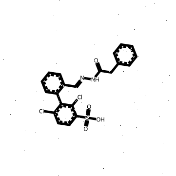 O=C(Cc1ccccc1)NN=Cc1ccccc1-c1c(Cl)ccc(S(=O)(=O)O)c1Cl